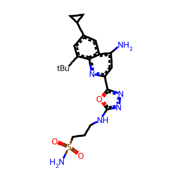 CC(C)(C)c1cc(C2CC2)cc2c(N)cc(-c3nnc(NCCCS(N)(=O)=O)o3)nc12